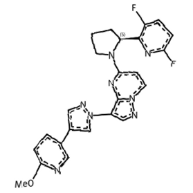 COc1ccc(-c2cnn(-c3cnn4ccc(N5CCC[C@H]5c5nc(F)ccc5F)nc34)c2)cn1